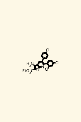 CCOC(=O)c1oc2nc(-c3ccc(Cl)cc3Cl)c(-c3ccc(Cl)cc3)cc2c1N